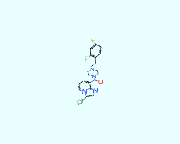 O=C(c1cccn2c(Cl)cnc12)N1CCN(CCc2ccc(F)cc2F)CC1